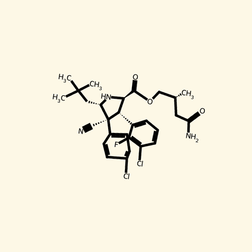 C[C@@H](COC(=O)[C@@H]1N[C@@H](CC(C)(C)C)[C@](C#N)(c2ccc(Cl)cc2)[C@H]1c1cccc(Cl)c1F)CC(N)=O